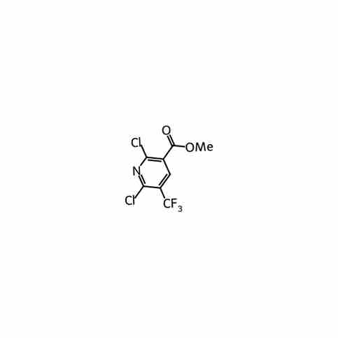 COC(=O)c1cc(C(F)(F)F)c(Cl)nc1Cl